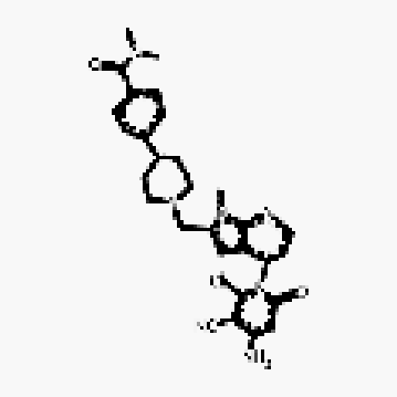 CN(C)C(=O)c1ccc(C2CCN(Cc3cc4c(-n5c(Cl)c(C#N)c(N)cc5=O)ccnc4n3C)CC2)cc1